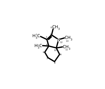 CC1=C(C)C2(C)CCCCC2(C)N1C